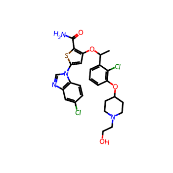 CC(Oc1cc(-n2cnc3cc(Cl)ccc32)sc1C(N)=O)c1cccc(OC2CCN(CCO)CC2)c1Cl